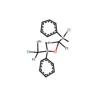 CCCC(CC)(O[Si](C)(c1ccccc1)C(Cl)(CC)CCC)[Si](C)(Cl)c1ccccc1